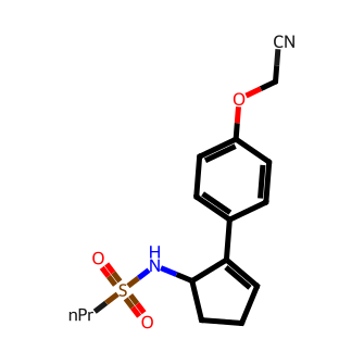 CCCS(=O)(=O)NC1CCC=C1c1ccc(OCC#N)cc1